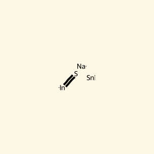 [Na].[S]=[In].[Sn]